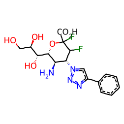 N[C@H]1[C@H]([C@H](O)[C@H](O)CO)OC(F)(C(=O)O)C(F)[C@@H]1n1cc(-c2ccccc2)nn1